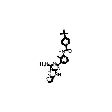 Cc1c(NC(=O)c2ccc(C(C)(C)C)cc2)cccc1-c1nc(N)nc(Nc2ccn[nH]2)n1